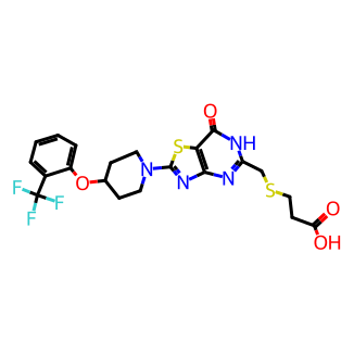 O=C(O)CCSCc1nc2nc(N3CCC(Oc4ccccc4C(F)(F)F)CC3)sc2c(=O)[nH]1